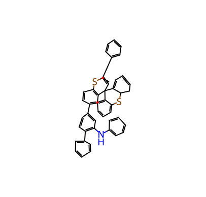 C1=CCC2Sc3ccccc3C3(C2=C1)C1=C(C=C(c2ccccc2)CC1)Sc1ccc(-c2ccc(-c4ccccc4)c(Nc4ccccc4)c2)cc13